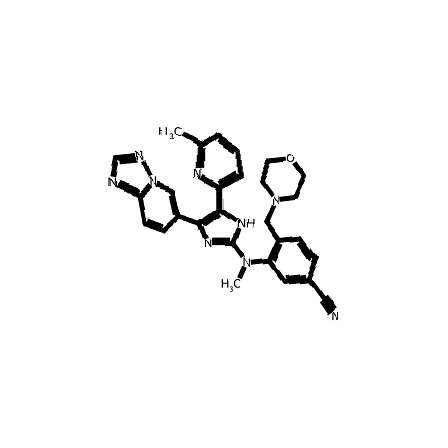 Cc1cccc(-c2[nH]c(N(C)c3cc(C#N)ccc3CN3CCOCC3)nc2-c2ccc3ncnn3c2)n1